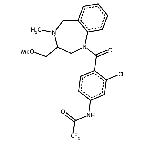 COCC1CN(C(=O)c2ccc(NC(=O)C(F)(F)F)cc2Cl)c2ccccc2CN1C